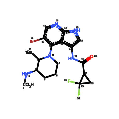 CC(C)(C)C1[C@H](NC(=O)O)CCCN1c1c(Br)cnc2[nH]cc(NC(=O)C3CC3(F)F)c12